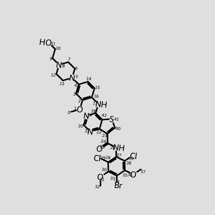 COc1cc(N2CCN(CCO)CC2)ccc1Nc1ncnc2c(C(=O)Nc3c(Cl)c(OC)c(Br)c(OC)c3Cl)csc12